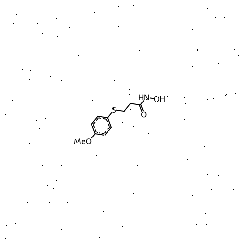 COc1ccc(SCCC(=O)NO)cc1